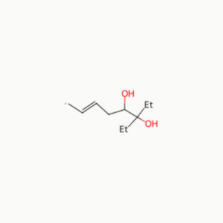 [CH2]C=CCC(O)C(O)(CC)CC